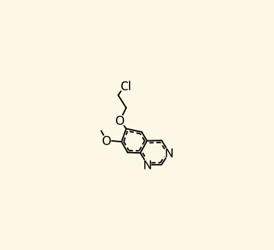 COc1cc2ncncc2cc1OCCCl